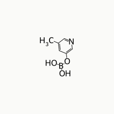 Cc1cncc(OB(O)O)c1